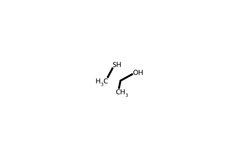 CCO.CS